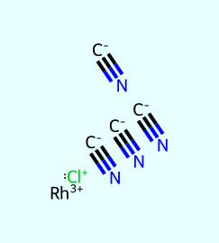 [C-]#N.[C-]#N.[C-]#N.[C-]#N.[Cl+].[Rh+3]